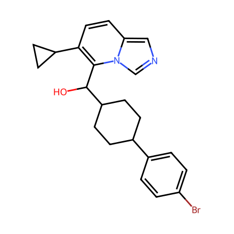 OC(c1c(C2CC2)ccc2cncn12)C1CCC(c2ccc(Br)cc2)CC1